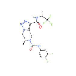 C[C@H]1Cn2nnc(C(=O)N[C@H](C)C(F)(F)F)c2CN1C(=O)Nc1ccc(F)c(F)c1